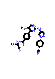 Cc1cnc(Nc2cnn([C@H]3CC[C@@H](C#N)CC3)c2)nc1-c1ccc(C(=O)NC(C)C#N)cc1